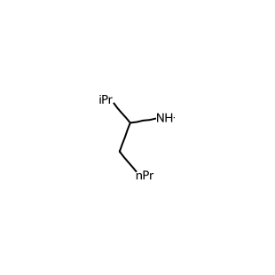 CCCCC([NH])C(C)C